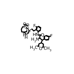 C[C@@H]1CC(C(c2ccc(F)cc2)C(N)C(=O)Nc2cccc(F)c2CC[C@H]2CN[C@@H]3CCCS(=O)(=O)N2C3)C[C@@H](C)O1